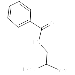 CCCC(CNC(=O)c1ccccc1)C(=O)O